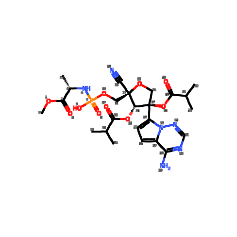 COC(=O)[C@H](C)NP(=O)(O)OC[C@@]1(C#N)OC[C@](OC(=O)C(C)C)(c2ccc3c(N)ncnn23)[C@@H]1OC(=O)C(C)C